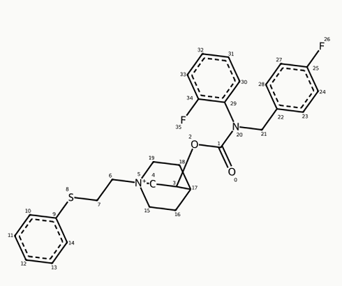 O=C(OC1C[N+]2(CCSc3ccccc3)CCC1CC2)N(Cc1ccc(F)cc1)c1ccccc1F